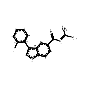 NC(N)=NC(=O)c1ccc2scc(-c3ccccc3F)c2c1